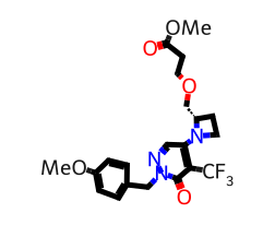 COC(=O)CCOC[C@@H]1CCN1c1cnn(Cc2ccc(OC)cc2)c(=O)c1C(F)(F)F